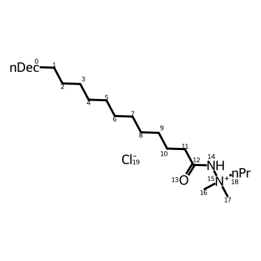 CCCCCCCCCCCCCCCCCCCCCC(=O)N[N+](C)(C)CCC.[Cl-]